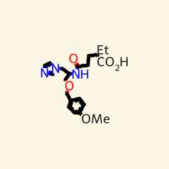 CCC(CCC(=O)NC(COCc1ccc(OC)cc1)Cn1ccnc1)C(=O)O